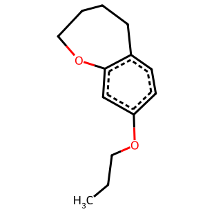 CCCOc1ccc2c(c1)OCCCC2